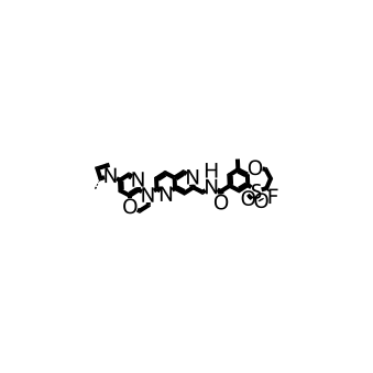 Cc1cc(C(=O)NCc2cc3nc(N4CCOc5cc(N6CC[C@H]6C)cnc54)ccc3cn2)cc2c1OCC[C@H](F)S2(=O)=O